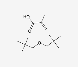 C=C(C)C(=O)O.CC(C)(C)COCC(C)(C)C